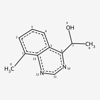 Cc1cccc2c(C(C)O)ncnc12